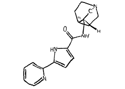 O=C(N[C@H]1CN2CCC1CC2)c1ccc(-c2ccccn2)[nH]1